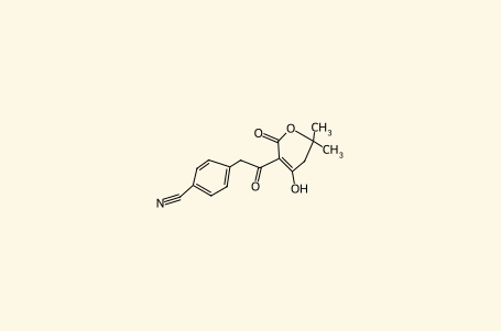 CC1(C)CC(O)=C(C(=O)Cc2ccc(C#N)cc2)C(=O)O1